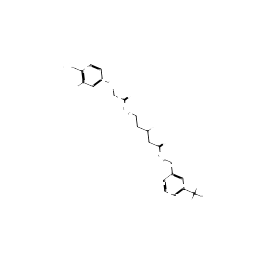 O=C(COc1ccc(Cl)c(F)c1)NCCC(O)CC(=O)NCc1cccc(C(F)(F)F)c1